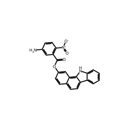 Nc1ccc([N+](=O)[O-])c(C(=O)Oc2ccc3ccc4c5ccccc5[nH]c4c3c2)c1